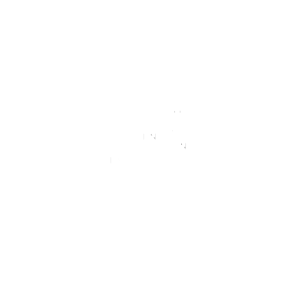 CCC1NC(=O)NC1CS